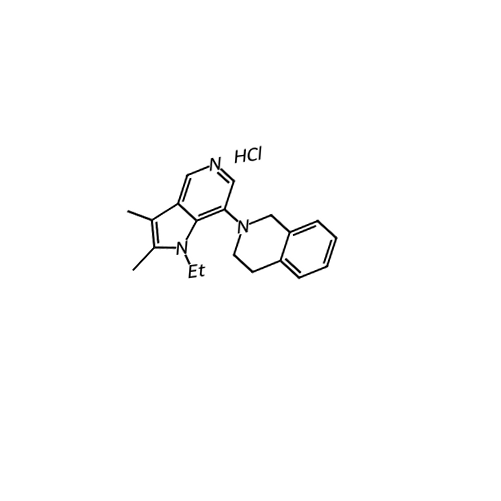 CCn1c(C)c(C)c2cncc(N3CCc4ccccc4C3)c21.Cl